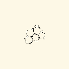 CN1CCc2nccc3cc4c(c1c23)OCO4